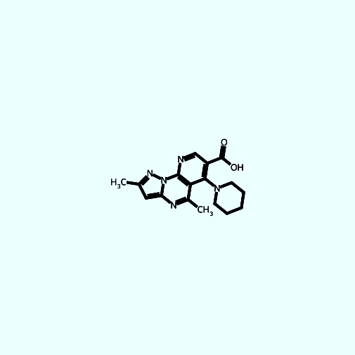 Cc1cc2nc(C)c3c(N4CCCCC4)c(C(=O)O)cnc3n2n1